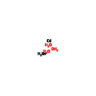 O.O.O.[Cd].[SnH2]